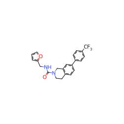 O=C(NCc1ccco1)N1CCc2ccc(-c3ccc(C(F)(F)F)cc3)cc2C1